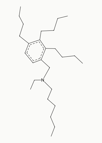 CCCCCCN(CC)Cc1ccc(CCCC)c(CCCC)c1CCCC